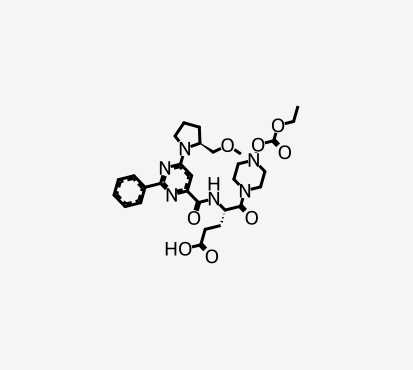 CCOC(=O)ON1CCN(C(=O)[C@H](CCC(=O)O)NC(=O)c2cc(N3CCC[C@H]3COC)nc(-c3ccccc3)n2)CC1